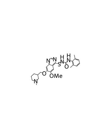 COc1cc2c(SNC(=O)Nc3c(C)cccc3C)ncnc2cc1OCC1CCCN(C)C1